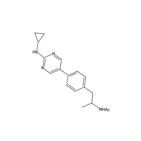 CC(=O)NC(C)Cc1ccc(-c2cnc(NC3CC3)nc2)cc1